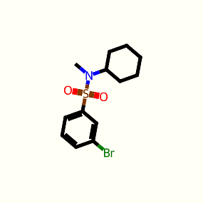 CN(C1CCCCC1)S(=O)(=O)c1cccc(Br)c1